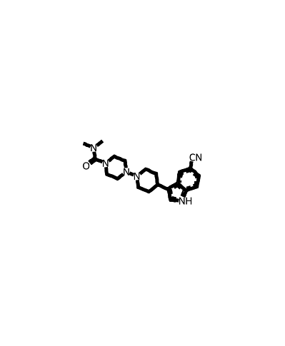 CN(C)C(=O)N1CCN(N2CCC(c3c[nH]c4ccc(C#N)cc34)CC2)CC1